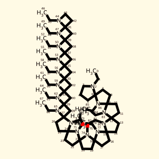 CCN1CCCC12CCC1(CCC3(CCC4(CCC5(CCC6(CCC7(CCC8(CC9(CC%10(CC%11(CC%12(CC%13(CC%14(CC%15(CCN%15CC)N%14CC)N%13CC)N%12CC)N%11CC)N%10CC)N9CC)N8CC)N7CC)N6CC)N5CC)N4CC)N3CC)N1CC)N2CC